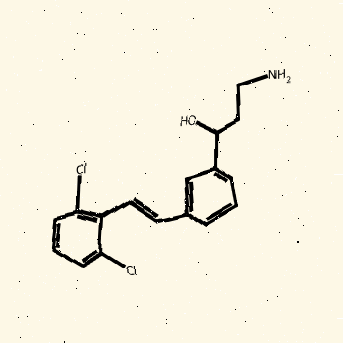 NCCC(O)c1cccc(C=Cc2c(Cl)cccc2Cl)c1